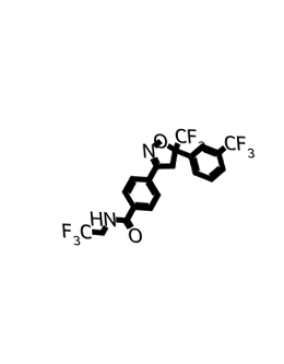 O=C(NCC(F)(F)F)c1ccc(C2=NOC(c3cccc(C(F)(F)F)c3)(C(F)(F)F)C2)cc1